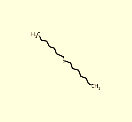 CCCCCCCSCCCCCCC